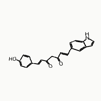 O=C(C=Cc1ccc(O)cc1)CC(=O)C=Cc1ccc2[nH]ccc2c1